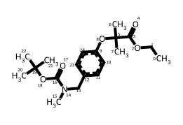 CCOC(=O)C(C)(C)Oc1ccc(CN(C)C(=O)OC(C)(C)C)cc1